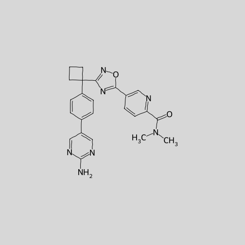 CN(C)C(=O)c1ccc(-c2nc(C3(c4ccc(-c5cnc(N)nc5)cc4)CCC3)no2)cn1